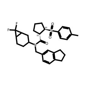 Cc1ccc(S(=O)(=O)[C@@H]2CCC[C@H]2C(=O)N(Cc2ccc3c(c2)CCC3)C2CCC3C(C2)C3(F)F)cc1